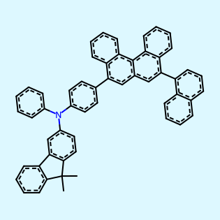 CC1(C)c2ccccc2-c2cc(N(c3ccccc3)c3ccc(-c4cc5cc(-c6cccc7ccccc67)c6ccccc6c5c5ccccc45)cc3)ccc21